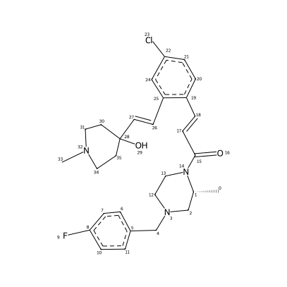 C[C@@H]1CN(Cc2ccc(F)cc2)CCN1C(=O)/C=C/c1ccc(Cl)cc1/C=C/C1(O)CCN(C)CC1